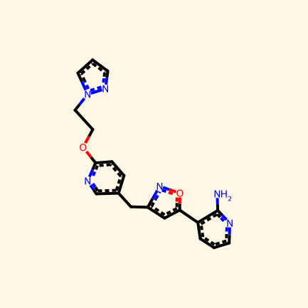 Nc1ncccc1-c1cc(Cc2ccc(OCCn3cccn3)nc2)no1